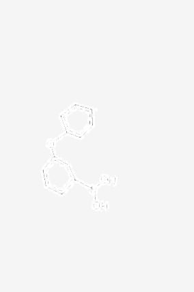 OB(O)c1cccc(Oc2cc[c]cc2)c1